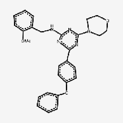 COc1ccccc1CNc1nc(-c2ccc(Oc3ccccc3)cc2)nc(N2CCOCC2)n1